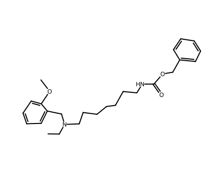 CCN(CCCCCCCNC(=O)OCc1ccccc1)Cc1ccccc1OC